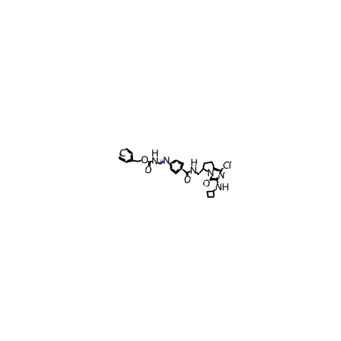 O=C(N/C=N/c1ccc(C(=O)NCC2CCc3c(Cl)nc(NC4CCC4)c(=O)n32)cc1)OCc1ccccc1